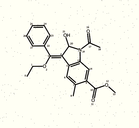 CCO/C(=C1\c2cc(C)c(C(=O)OC)cc2N(C(C)=O)C1O)c1ccccc1